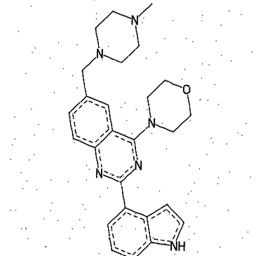 CN1CCN(Cc2ccc3nc(-c4cccc5[nH]ccc45)nc(N4CCOCC4)c3c2)CC1